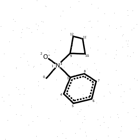 C[N+]([O-])(c1ccccc1)C1CCC1